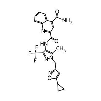 Cc1c(NC(=O)c2cc(C(N)=O)c3ccccc3n2)c(C(F)(F)F)nn1Cc1cc(C2CC2)on1